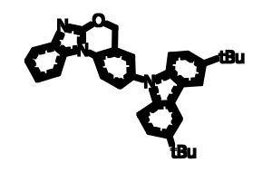 CC(C)(C)c1ccc2c(c1)c1cc(C(C)(C)C)ccc1n2-c1ccc2c(c1)COc1nc3ccccc3n1-2